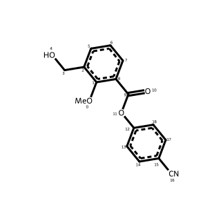 COc1c(CO)cccc1C(=O)Oc1ccc(C#N)cc1